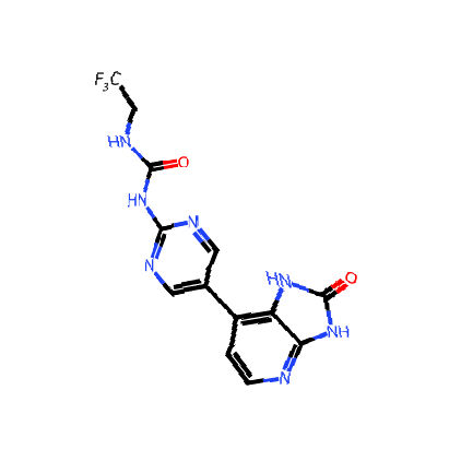 O=C(NCC(F)(F)F)Nc1ncc(-c2ccnc3[nH]c(=O)[nH]c23)cn1